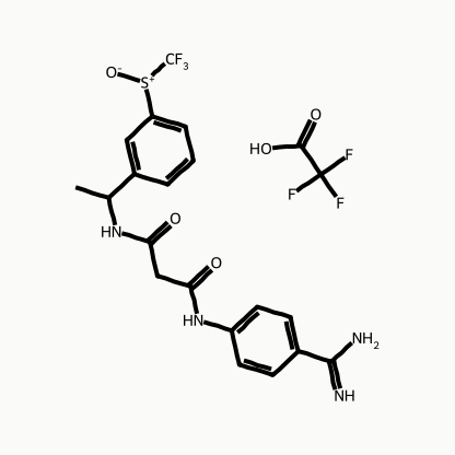 CC(NC(=O)CC(=O)Nc1ccc(C(=N)N)cc1)c1cccc([S+]([O-])C(F)(F)F)c1.O=C(O)C(F)(F)F